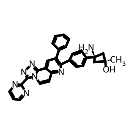 C[C@]1(O)C[C@](N)(c2ccc(-c3nc4ccn5c(-c6ncccn6)nnc5c4cc3-c3ccccc3)cc2)C1